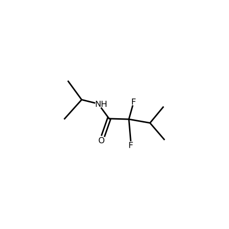 CC(C)NC(=O)C(F)(F)C(C)C